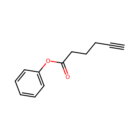 C#CCCCC(=O)Oc1ccccc1